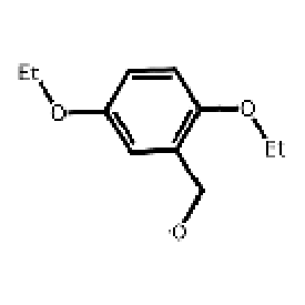 CCOc1ccc(OCC)c(C[O])c1